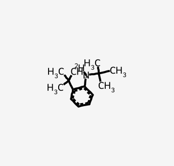 [2H]N(c1ccccc1C(C)(C)C)C(C)(C)C